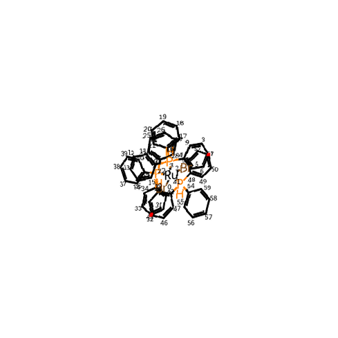 [Br][Ru]([Br])([PH](c1ccccc1)(c1ccccc1)c1ccccc1)([PH](c1ccccc1)(c1ccccc1)c1ccccc1)[PH](c1ccccc1)(c1ccccc1)c1ccccc1